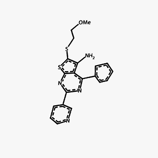 COCCSc1sc2nc(-c3cccnc3)nc(-c3ccccc3)c2c1N